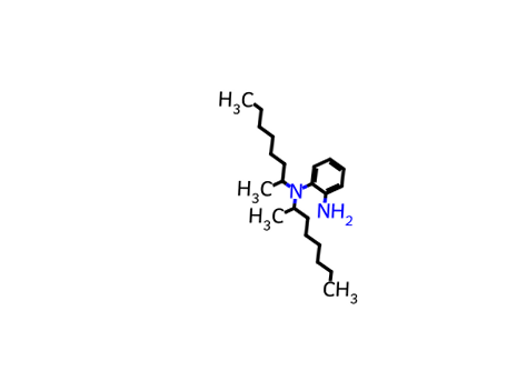 CCCCCCC(C)N(c1ccccc1N)C(C)CCCCCC